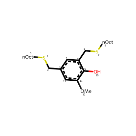 CCCCCCCCSCc1cc(CSCCCCCCCC)c(O)c(OC)c1